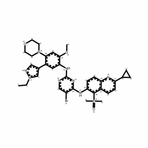 CCn1cc(-c2cc(Nc3ncc(Br)c(Nc4ccc5nc(C6CC6)ccc5c4P(C)(C)=O)n3)c(OC)cc2N2CCOCC2)cn1